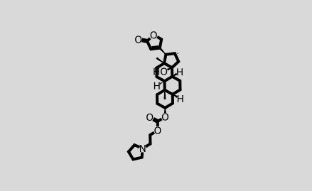 C[C@]12CC[C@H](OC(=O)OCCN3CCCC3)C[C@H]1CC[C@@H]1[C@@H]2CC[C@]2(C)[C@@H](C3=CC(=O)OC3)[CH]C[C@]12O